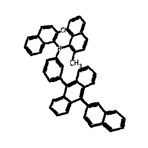 Cc1ccc2ccccc2c1B(c1cccc(-c2c3ccccc3c(-c3ccc4ccccc4c3)c3ccccc23)c1)c1c(C)ccc2ccccc12